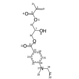 C=C(C)C(=O)OCC(O)COC(=O)c1ccc(N(C)CF)cc1